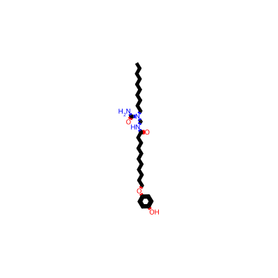 CCCCCCCCCCN(CNC(=O)CCCCCCCCCCOc1ccc(O)cc1)C(N)=O